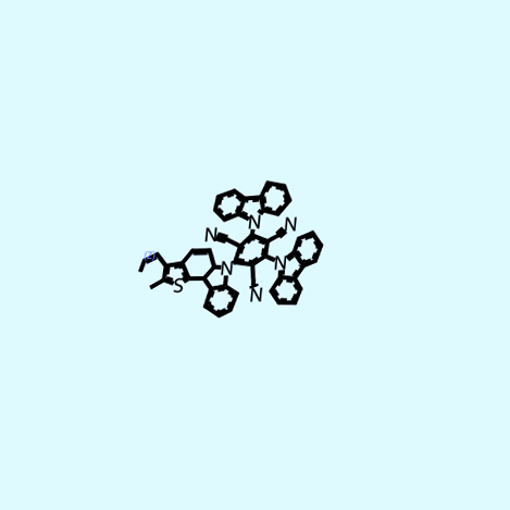 C/C=C\c1c(C)sc2c1C=CC1C2c2ccccc2N1c1c(C#N)c(-n2c3ccccc3c3ccccc32)c(C#N)c(-n2c3ccccc3c3ccccc32)c1C#N